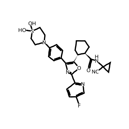 N#CC1(NC(=O)[C@@H]2CCCC[C@H]2c2oc(-c3ccc(F)cn3)nc2-c2ccc(N3CCS(O)(O)CC3)cc2)CC1